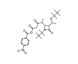 CC(O[Si](C)(C)C(C)(C)C)C1C(=O)N([Si](C)(C)C(C)(C)C)C1C(C)C(=O)CC(=O)OC(=O)c1ccc([N+](=O)[O-])cc1